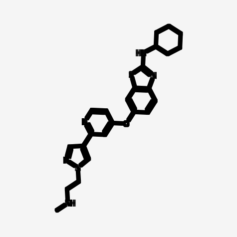 CNCCn1cc(-c2cc(Oc3ccc4nc(NC5CCCCC5)sc4c3)ccn2)cn1